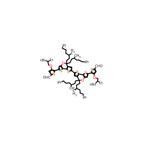 CCCCC(CC)COc1cc(C=O)sc1-c1cc2c(s1)-c1sc(-c3cc4c(s3)-c3sc(-c5sc(C=O)cc5OCC(CC)CCCC)cc3OC4(CCC(C)CCCC(C)C)CCC(C)CCCC(C)C)cc1C(CCC(C)CCCC(C)C)(CCC(C)CCCC(C)C)O2